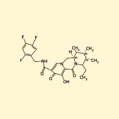 CCC1[C@@H](C)[C@@H](C)C(C)[C@@H]2Cn3cc(C(=O)NCc4cc(F)c(F)cc4F)c(=O)c(O)c3C(=O)N12